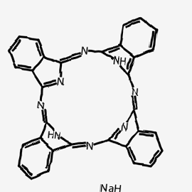 [NaH].c1ccc2c(c1)-c1nc-2nc2[nH]c(nc3nc(nc4[nH]c(n1)c1ccccc41)-c1ccccc1-3)c1ccccc21